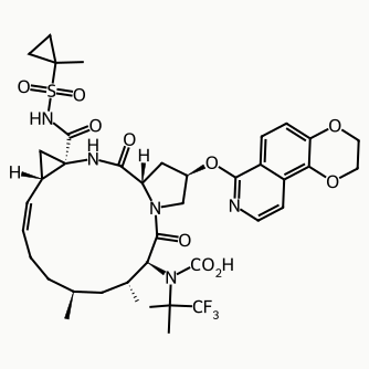 C[C@H]1CC/C=C\[C@@H]2C[C@@]2(C(=O)NS(=O)(=O)C2(C)CC2)NC(=O)[C@@H]2C[C@@H](Oc3nccc4c5c(ccc34)OCCO5)CN2C(=O)[C@@H](N(C(=O)O)C(C)(C)C(F)(F)F)[C@H](C)C1